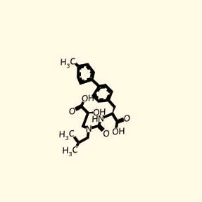 Cc1ccc(-c2ccc(C[C@H](NC(=O)N(CC(C)C)C[C@H](O)C(=O)O)C(=O)O)cc2)cc1